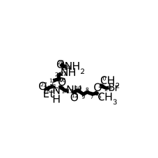 C=C(CBr)OC(C)CCCCC(=O)NCC(=O)N[C@@H](CCCNC(N)=O)C(=O)CC